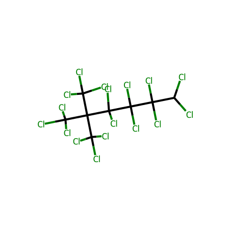 Cl[C](Cl)C(Cl)(Cl)C(Cl)(Cl)C(Cl)(Cl)C(C(Cl)(Cl)Cl)(C(Cl)(Cl)Cl)C(Cl)(Cl)Cl